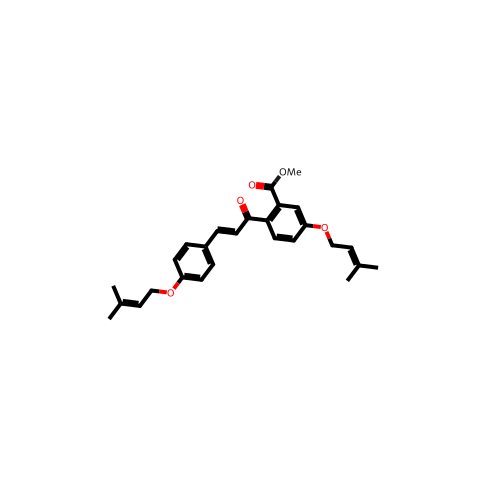 COC(=O)c1cc(OCC=C(C)C)ccc1C(=O)/C=C/c1ccc(OCC=C(C)C)cc1